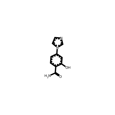 NC(=O)c1ccc(-n2ccnc2)cc1O